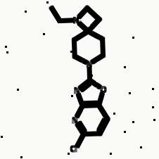 CCN1CCC12CCN(c1nc3nc(Cl)ccc3o1)CC2